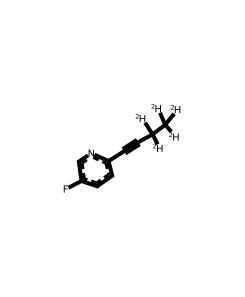 [2H]C([2H])([2H])C([2H])([2H])C#Cc1ccc(F)cn1